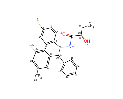 O=C(NC(c1ccc(F)cc1)[C@H](c1ccccc1)c1cc(F)cc(C(F)(F)F)c1)[C@H](O)CC(F)(F)F